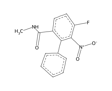 CNC(=O)c1ccc(F)c([N+](=O)[O-])c1-c1ccccc1